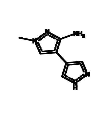 Cn1cc(-c2cn[nH]c2)c(N)n1